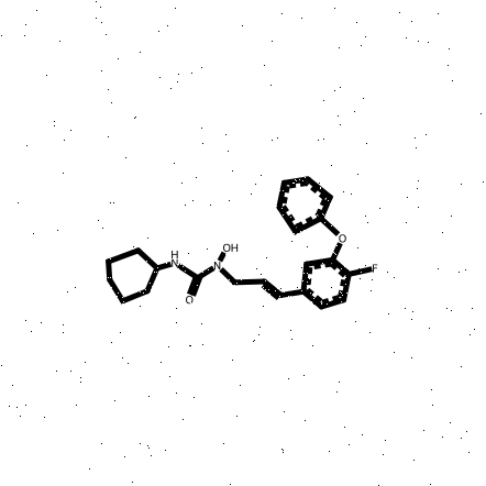 O=C(NC1CCCCC1)N(O)CC=Cc1ccc(F)c(Oc2ccccc2)c1